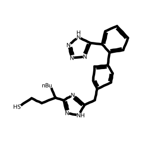 CCCCC(CCS)c1n[nH]c(Cc2ccc(-c3ccccc3-c3nnn[nH]3)cc2)n1